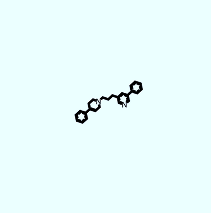 C1=C(c2ccccc2)CCN(CCCc2cncc(-c3ccccc3)c2)C1